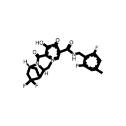 Cc1cc(F)c(CNC(=O)c2cn3c(c(O)c2=O)C(=O)N2[C@@H]4CC([C@@H]2C3)C(F)(F)C4)c(F)c1